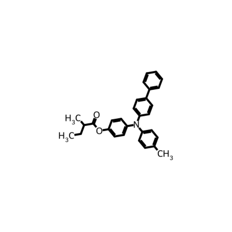 CCC(C)C(=O)Oc1ccc(N(c2ccc(C)cc2)c2ccc(-c3ccccc3)cc2)cc1